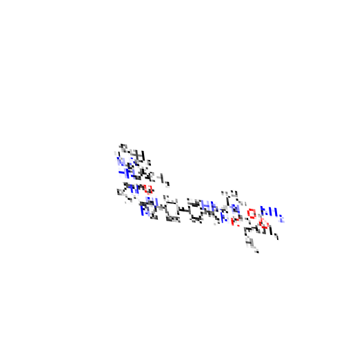 CC(C)[C@H](OC(N)=O)C(=O)N1CCC[C@H]1c1ncc(-c2ccc(-c3ccc(-c4cnc([C@@H]5CCCN5C(=O)[C@H](Nc5ncccn5)C(C)C)[nH]4)cc3)cc2)[nH]1